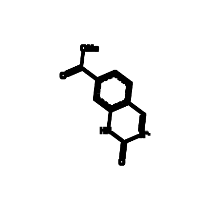 COC(=O)c1ccc2c(c1)NC(=O)[N+]=C2